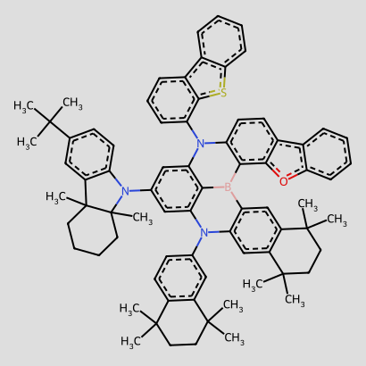 CC(C)(C)c1ccc2c(c1)C1(C)CCCCC1(C)N2c1cc2c3c(c1)N(c1cccc4c1sc1ccccc14)c1ccc4c(oc5ccccc54)c1B3c1cc3c(cc1N2c1ccc2c(c1)C(C)(C)CCC2(C)C)C(C)(C)CCC3(C)C